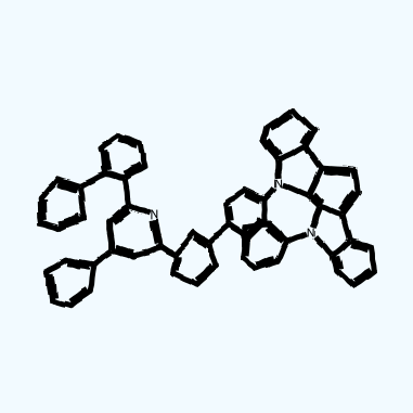 c1ccc(-c2cc(-c3cccc(-c4ccc(-n5c6ccccc6c6ccc7c8ccccc8n(-c8ccccc8)c7c65)cc4)c3)nc(-c3ccccc3-c3ccccc3)c2)cc1